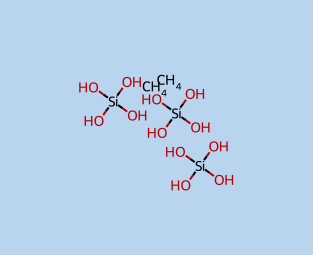 C.C.O[Si](O)(O)O.O[Si](O)(O)O.O[Si](O)(O)O